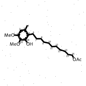 COc1cc(C)c(CCCCCCCCCCCOC(C)=O)c(O)c1OC